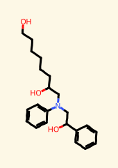 OCCCCCCC(O)CN(CC(O)c1ccccc1)c1ccccc1